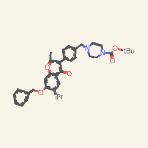 Cc1oc2cc(OCc3ccccc3)c(C(C)C)cc2c(=O)c1-c1ccc(CN2CCN(C(=O)OC(C)(C)C)CC2)cc1